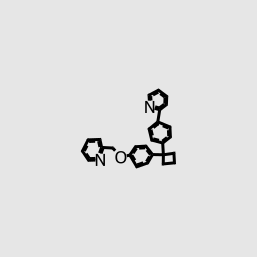 c1ccc(COc2ccc(C3(c4ccc(-c5ccccn5)cc4)CCC3)cc2)nc1